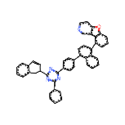 C1=CC(c2nc(-c3ccccc3)nc(-c3ccc(-c4ccc(-c5cccc6oc7ccncc7c56)c5ccccc45)cc3)n2)Cc2ccccc21